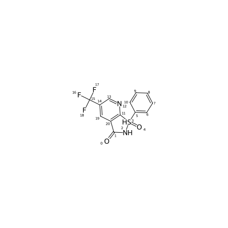 O=C1N[SH](=O)(c2ccccc2)c2ncc(C(F)(F)F)cc21